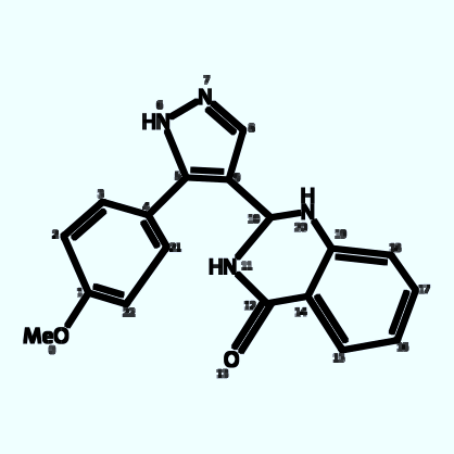 COc1ccc(-c2[nH]ncc2C2NC(=O)c3ccccc3N2)cc1